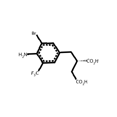 Nc1c(Br)cc(C[C@@H](CC(=O)O)C(=O)O)cc1C(F)(F)F